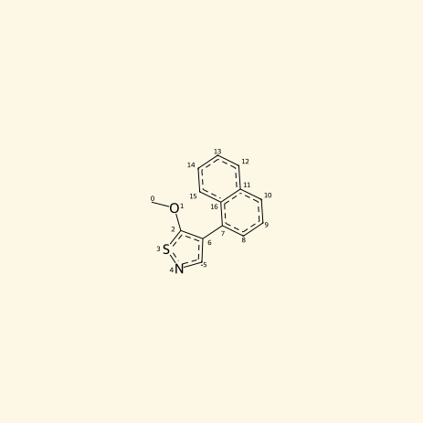 COc1sn[c]c1-c1cccc2ccccc12